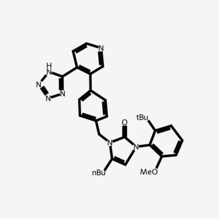 CCCCc1cn(-c2c(OC)cccc2C(C)(C)C)c(=O)n1Cc1ccc(-c2cnccc2-c2nnn[nH]2)cc1